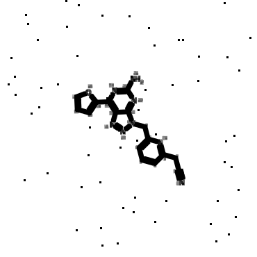 N#CCc1cccc(Cn2nnc3c(-c4ccco4)nc(N)nc32)n1